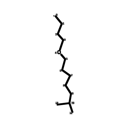 [CH2]CCCOCCCCCC(C)C